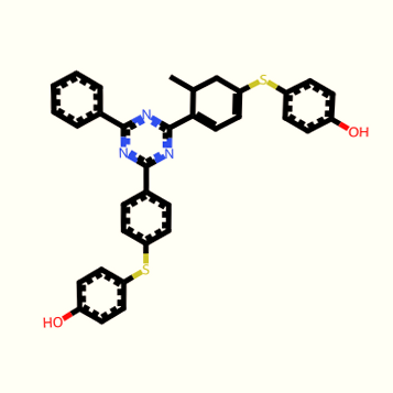 CC1CC(Sc2ccc(O)cc2)=CC=C1c1nc(-c2ccccc2)nc(-c2ccc(Sc3ccc(O)cc3)cc2)n1